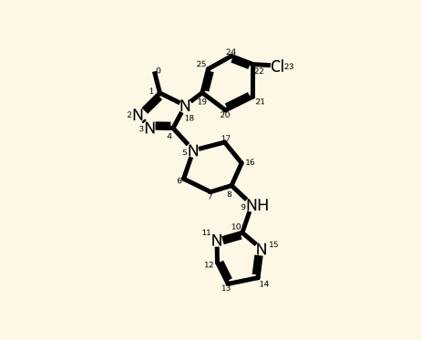 Cc1nnc(N2CCC(Nc3ncccn3)CC2)n1-c1ccc(Cl)cc1